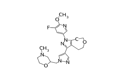 COc1ncc(-n2nc(-c3cnn(CC4CN(C)CCO4)c3)c3c2CCOCC3)cc1F